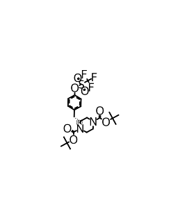 CC(C)(C)OC(=O)N1CCN(C(=O)OC(C)(C)C)[C@H](Cc2ccc(OS(=O)(=O)C(F)(F)F)cc2)C1